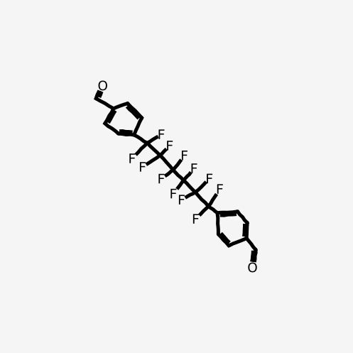 O=Cc1ccc(C(F)(F)C(F)(F)C(F)(F)C(F)(F)C(F)(F)C(F)(F)c2ccc(C=O)cc2)cc1